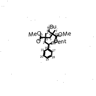 CCCCCC(CC(C)(CC(C)(CC(C)CC)C(=O)OC)C(=O)OC)c1ccccc1